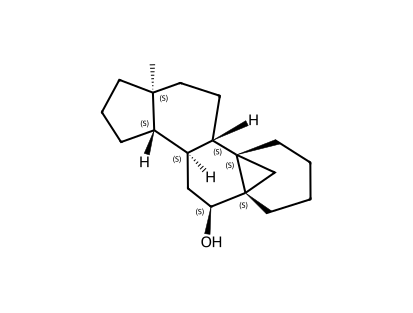 C[C@@]12CCC[C@H]1[C@@H]1C[C@H](O)[C@]34CCCC[C@]3(C4)[C@H]1CC2